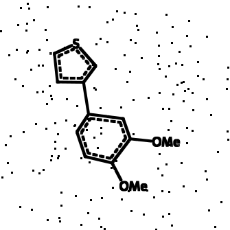 COc1ccc(-c2c[c]sc2)cc1OC